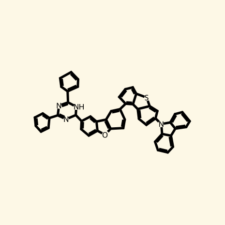 c1ccc(C2=NC(c3ccc4oc5ccc(-c6cccc7sc8cc(-n9c%10ccccc%10c%10ccccc%109)ccc8c67)cc5c4c3)NC(c3ccccc3)=N2)cc1